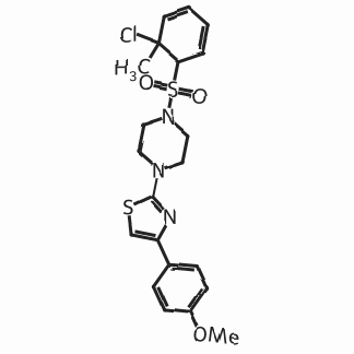 COc1ccc(-c2csc(N3CCN(S(=O)(=O)C4C=CC=CC4(C)Cl)CC3)n2)cc1